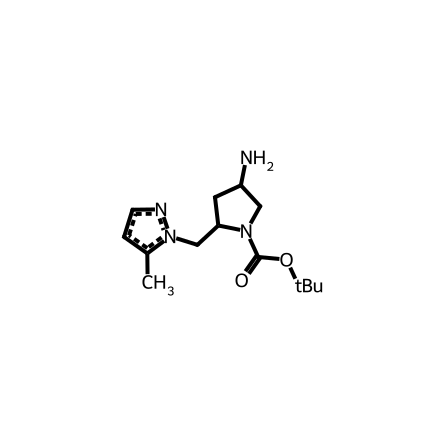 Cc1ccnn1CC1CC(N)CN1C(=O)OC(C)(C)C